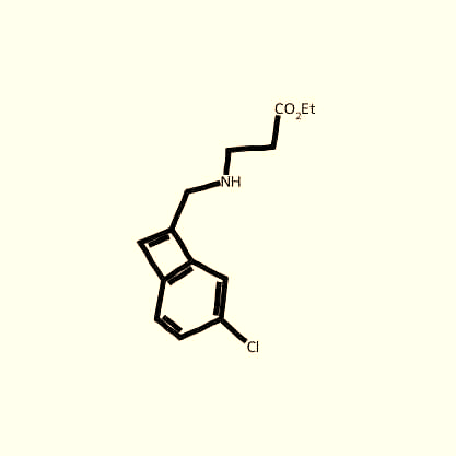 CCOC(=O)CCNCC1=Cc2ccc(Cl)cc21